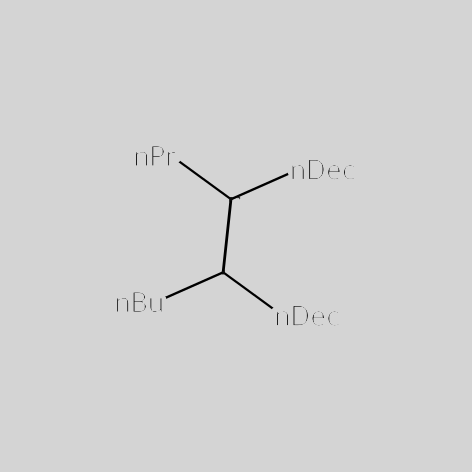 CCCCCCCCCC[C](CCC)C(CCCC)CCCCCCCCCC